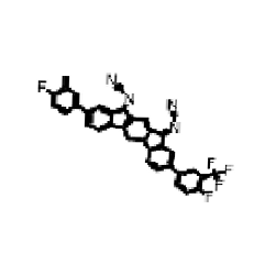 Cc1cc(-c2ccc3c(c2)/c(=N\C#N)c2cc4/c(=N\C#N)c5cc(-c6ccc(F)c(C(F)(F)F)c6)ccc5c4cc23)ccc1F